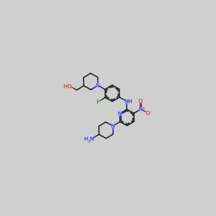 NC1CCN(c2ccc([N+](=O)[O-])c(Nc3ccc(N4CCCC(CO)C4)c(F)c3)n2)CC1